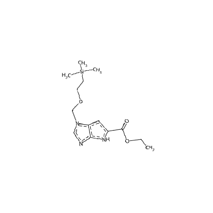 CCOC(=O)c1cc2c(ncn2COCC[Si](C)(C)C)[nH]1